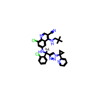 [2H]C(Nc1cc(Cl)c2ncc(C#N)c(NCC(C)(C)C)c2c1)(c1cn(C2(c3ccccn3)CC2)nn1)c1ccccc1Cl